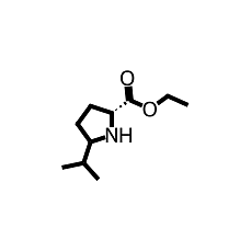 CCOC(=O)[C@H]1CCC(C(C)C)N1